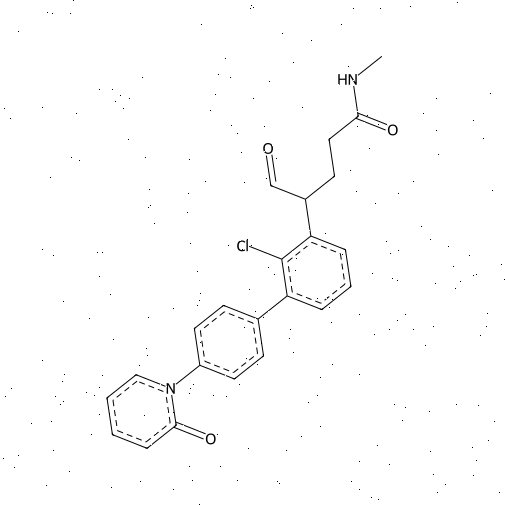 CNC(=O)CCC(C=O)c1cccc(-c2ccc(-n3ccccc3=O)cc2)c1Cl